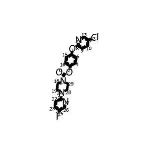 O=C(Oc1ccc(Oc2ccc(Cl)cn2)cc1)N1CCN(c2ccc(F)cn2)CC1